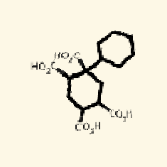 O=C(O)C1CC(C(=O)O)C(C(=O)O)(C2CCCCC2)CC1C(=O)O